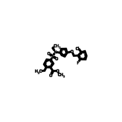 CCc1ccc(S(=O)(=O)N(CC)c2ccc(OCc3c(F)cccc3Cl)cc2)cc1C(=O)OC